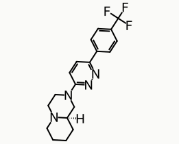 FC(F)(F)c1ccc(-c2ccc(N3CCN4CCCC[C@@H]4C3)nn2)cc1